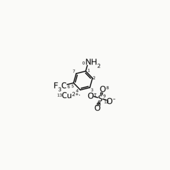 Nc1cccc(C(F)(F)F)c1.O=S(=O)([O-])[O-].[Cu+2]